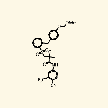 COCOc1ccc(Cc2ccccc2S(=O)(=O)CC(C)(O)C(=O)Nc2ccc(C#N)c(C(F)(F)F)c2)cc1